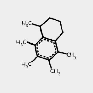 Cc1c(C)c(C)c2c(c1C)CCCC2C